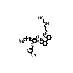 CC(CO)(CO)NCc1cc(Cl)c(OCc2cccc(-c3cccc4c3cnn4CCCCNCCO)c2Br)cc1OCc1cncc(C#N)c1